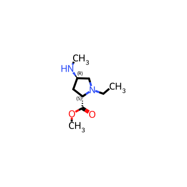 CCN1C[C@H](NC)C[C@H]1C(=O)OC